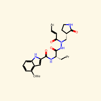 COc1cccc2[nH]c(C(=O)N[C@@H](CC(C)C)C(=O)NN(C[C@@H]3CCNC3=O)C(=O)/C=C/C(C)=O)cc12